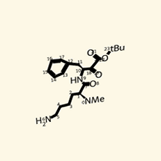 CN[C@@H](CCCCN)C(=O)N[C@@H](Cc1ccccc1)C(=O)C(=O)OC(C)(C)C